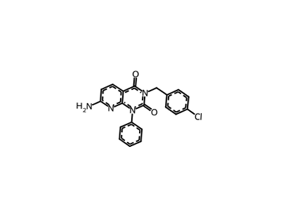 Nc1ccc2c(=O)n(Cc3ccc(Cl)cc3)c(=O)n(-c3ccccc3)c2n1